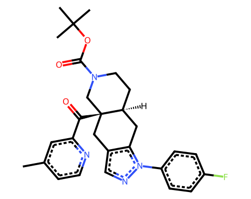 Cc1ccnc(C(=O)[C@]23Cc4cnn(-c5ccc(F)cc5)c4C[C@@H]2CCN(C(=O)OC(C)(C)C)C3)c1